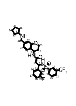 O=C(CC(NS(=O)(=O)c1cccc(C(F)(F)F)c1)c1cccc(F)c1)NC1CCOc2cc(CNC3CCCC3)ccc21